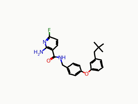 CC(C)(C)Cc1cccc(Oc2ccc(CNC(=O)c3ccc(F)nc3N)cc2)c1